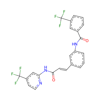 O=C(C=Cc1cccc(NC(=O)c2cccc(C(F)(F)F)c2)c1)Nc1cc(C(F)(F)F)ccn1